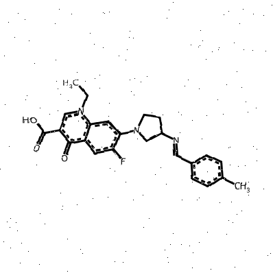 CCn1cc(C(=O)O)c(=O)c2cc(F)c(N3CCC(N=Cc4ccc(C)cc4)C3)cc21